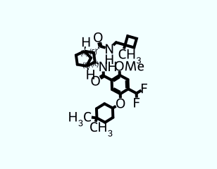 COc1cc(C(F)F)c(OC2CCC(C)(C)CC2)cc1C(=O)N[C@@H]1[C@H]2CC[C@H](C2)[C@@H]1C(=O)NCC1(C)CCC1